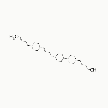 CC=CCC[C@H]1CC[C@H](C=CCC[C@H]2CC[C@H]([C@H]3CC[C@H](CCCCC)CC3)CC2)CC1